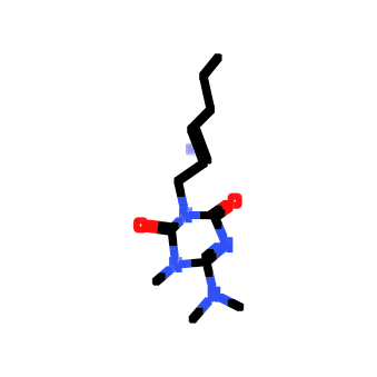 CCC/C=C/Cn1c(=O)nc(N(C)C)n(C)c1=O